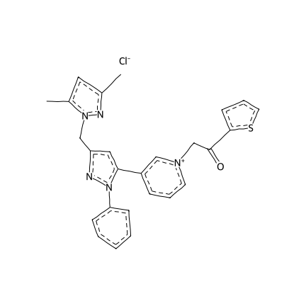 Cc1cc(C)n(Cc2cc(-c3ccc[n+](CC(=O)c4cccs4)c3)n(-c3ccccc3)n2)n1.[Cl-]